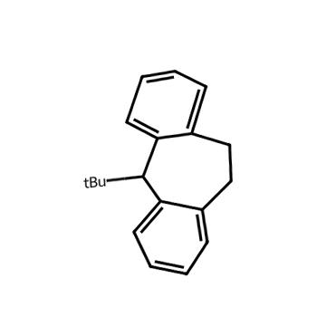 CC(C)(C)C1c2ccccc2CCc2ccccc21